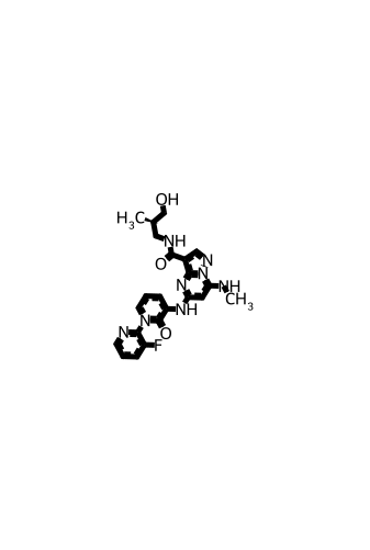 CNc1cc(Nc2cccn(-c3ncccc3F)c2=O)nc2c(C(=O)NC[C@@H](C)CO)cnn12